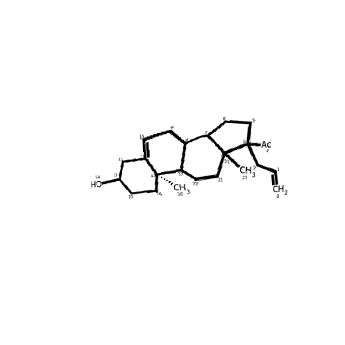 C=CCC1(C(C)=O)CCC2C3CC=C4CC(O)CC[C@]4(C)C3CCC21C